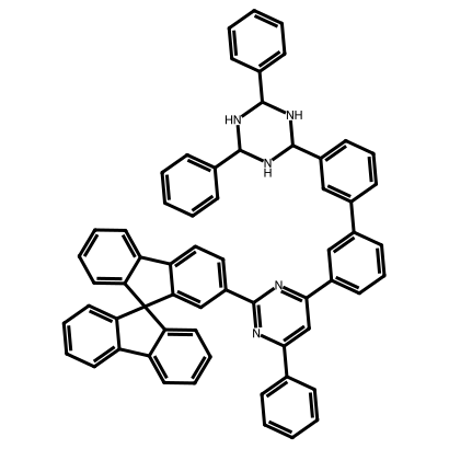 c1ccc(-c2cc(-c3cccc(-c4cccc(C5NC(c6ccccc6)NC(c6ccccc6)N5)c4)c3)nc(-c3ccc4c(c3)C3(c5ccccc5-c5ccccc53)c3ccccc3-4)n2)cc1